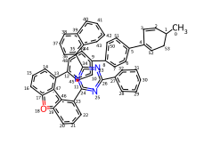 CC1C=CC(c2ccc(-c3ccc(-c4cccc5oc6cccc(-c7nc(-c8ccccc8)nc(-c8cccc9ccccc89)n7)c6c45)cc3)cc2)=CC1